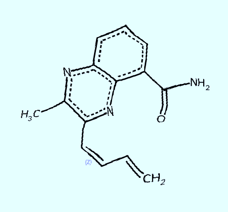 C=C/C=C\c1nc2c(C(N)=O)cccc2nc1C